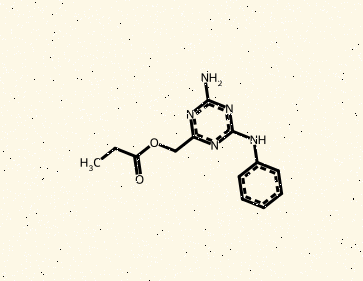 CCC(=O)OCc1nc(N)nc(Nc2ccccc2)n1